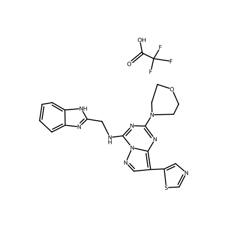 O=C(O)C(F)(F)F.c1ccc2[nH]c(CNc3nc(N4CCOCC4)nc4c(-c5cncs5)cnn34)nc2c1